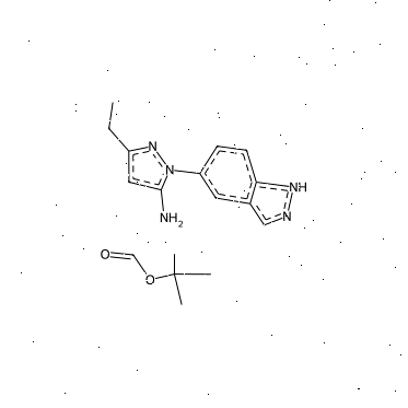 CC(C)(C)OC=O.CCc1cc(N)n(-c2ccc3[nH]ncc3c2)n1